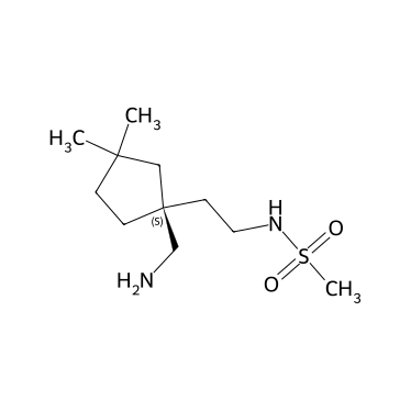 CC1(C)CC[C@@](CN)(CCNS(C)(=O)=O)C1